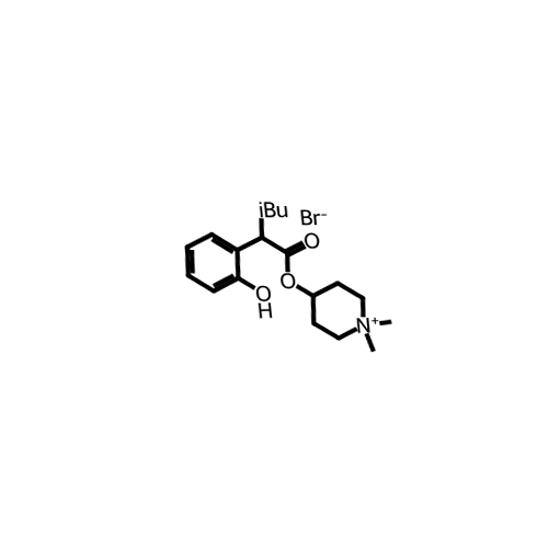 CCC(C)C(C(=O)OC1CC[N+](C)(C)CC1)c1ccccc1O.[Br-]